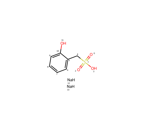 O=S(=O)(O)Cc1ccccc1O.[NaH].[NaH]